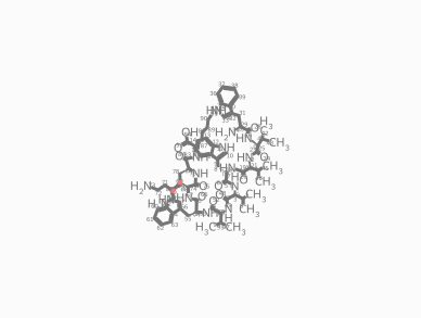 CC(C)[C@H](NC(=O)[C@H](Cc1c[nH]c2ccccc12)NC(=O)[C@@H](NC(=O)[C@@H](NC(=O)[C@@H](N)Cc1c[nH]c2ccccc12)C(C)C)C(C)C)C(=O)N[C@H](C(=O)N[C@@H](Cc1c[nH]c2ccccc12)C(=O)N[C@@H](CCCCN)C(=O)N[C@@H](CCCCN)C(=O)N[C@@H](CCCCN)C(=O)O)C(C)C